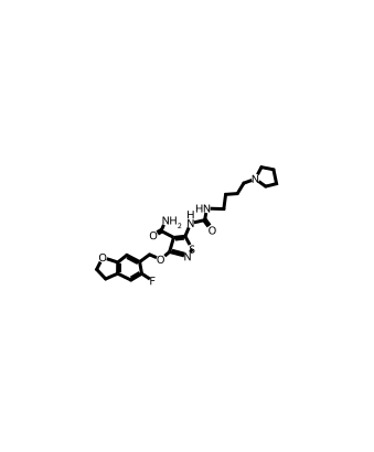 NC(=O)c1c(OCc2cc3c(cc2F)CCO3)nsc1NC(=O)NCCCCN1CCCC1